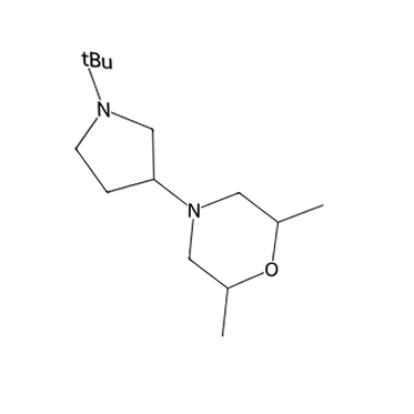 CC1CN(C2CCN(C(C)(C)C)C2)CC(C)O1